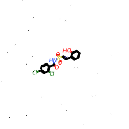 O=C(NS(=O)(=O)/C=C/c1ccccc1O)c1ccc(Cl)cc1Cl